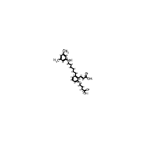 Cc1cc(C)cc(NCCCCCCc2cccc(OCCCC(=O)O)c2CCC(=O)O)c1